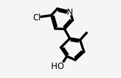 Cc1ccc(O)cc1-c1cncc(Cl)c1